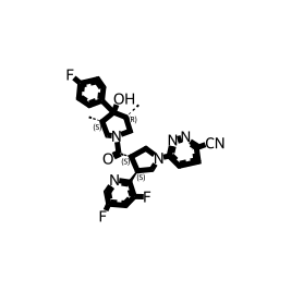 C[C@@H]1CN(C(=O)[C@@H]2CN(c3ccc(C#N)nn3)C[C@H]2c2ncc(F)cc2F)C[C@H](C)C1(O)c1ccc(F)cc1